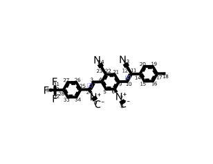 [C-]#[N+]/C(=C\c1cc([N+]#[C-])c(/C=C(\C#N)c2ccc(C)cc2)cc1C#N)c1ccc(C(F)(F)F)cc1